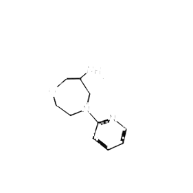 NC1COCCN(c2[c]cccn2)C1